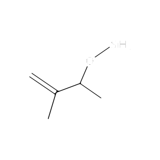 C=C(C)C(C)O[SiH3]